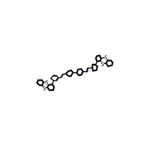 C1=CC(/C=C/c2ccc(-c3ccc(/C=C/c4cccc(-c5cccc6c5Sc5ccccc5S6)c4)cc3)cc2)=CC(c2cccc3c2Sc2ccccc2S3)C1